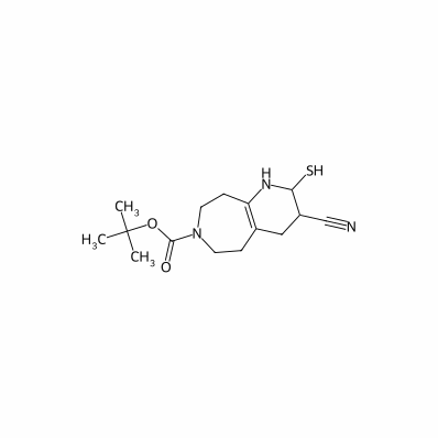 CC(C)(C)OC(=O)N1CCC2=C(CC1)NC(S)C(C#N)C2